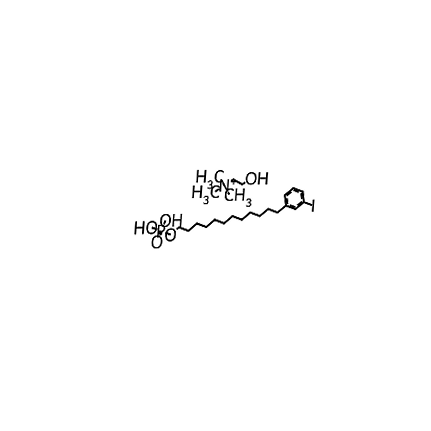 C[N+](C)(C)CCO.O=P(O)(O)OCCCCCCCCCCCCc1cccc(I)c1